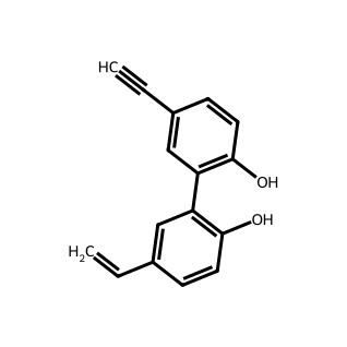 C#Cc1ccc(O)c(-c2cc(C=C)ccc2O)c1